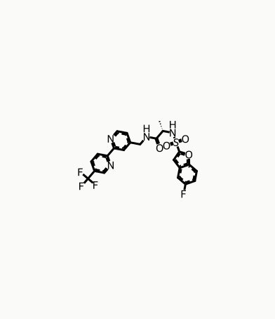 C[C@H](NS(=O)(=O)c1cc2cc(F)ccc2o1)C(=O)NCc1ccnc(-c2ccc(C(F)(F)F)cn2)c1